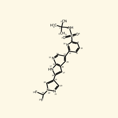 CC(C)(C#N)NS(=O)(=O)c1cccc(-c2cnc3[nH]c(-c4cnn(C(F)F)c4)cc3c2)n1